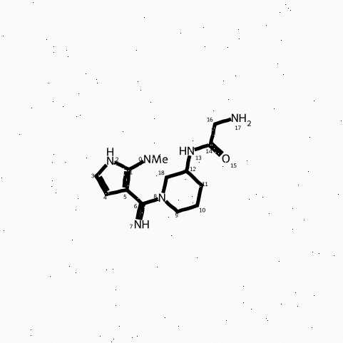 CNc1[nH]ccc1C(=N)N1CCCC(NC(=O)CN)C1